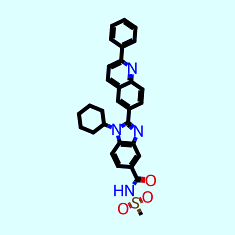 CS(=O)(=O)NC(=O)c1ccc2c(c1)nc(-c1ccc3nc(-c4ccccc4)ccc3c1)n2C1CCCCC1